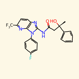 C[C@](O)(CC(=O)Nc1nc2ccc(C(F)(F)F)nc2n1-c1ccc(F)cc1)c1ccccc1